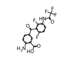 Nc1ccc(C(=O)c2c(F)ccc(NC(=O)C(F)(F)F)c2F)cc1C(=O)O